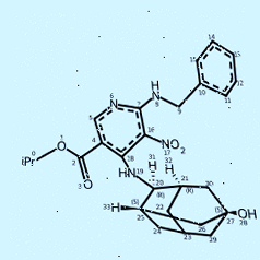 CC(C)OC(=O)c1cnc(NCc2ccccc2)c([N+](=O)[O-])c1N[C@H]1[C@@H]2CC3C[C@H]1C[C@@](O)(C3)C2